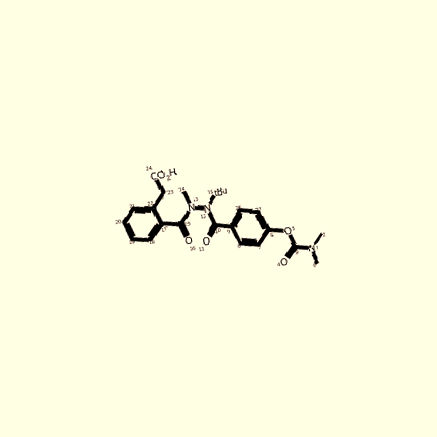 CN(C)C(=O)Oc1ccc(C(=O)N(N(C)C(=O)c2ccccc2CC(=O)O)C(C)(C)C)cc1